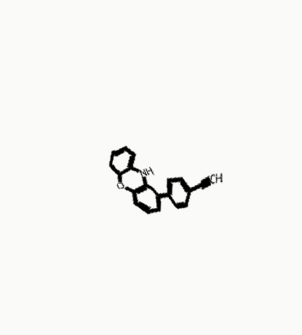 C#Cc1ccc(-c2cccc3c2Nc2ccccc2O3)cc1